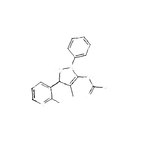 CC1=C(NC(N)=O)N(c2ccccc2)NC1c1cccnc1F